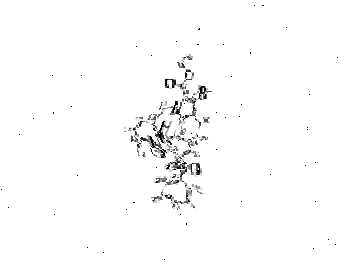 CCOC(=O)c1c(Br)c2c(n1Cc1ccc(C)nc1)-c1[nH]c(=O)c(S(=O)(=O)c3ccccc3)cc1CC2